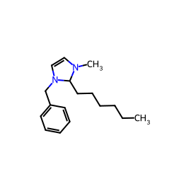 CCCCCCC1N(C)C=CN1Cc1ccccc1